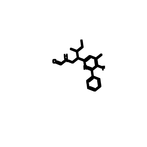 CCC(C)C(CNC=O)c1cc(C)c(F)c(-c2ccccc2)n1